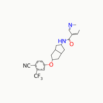 C/C=C(\C=N/C)C(=O)NC1CC2CC(Oc3ccc(C#N)c(C(F)(F)F)c3)CC2C1